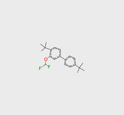 CC(C)(C)c1ccc(-c2ccc(C(C)(C)C)c(OC(F)F)c2)cc1